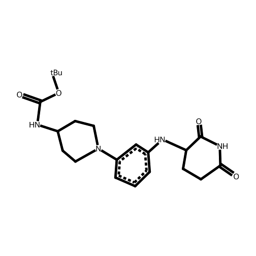 CC(C)(C)OC(=O)NC1CCN(c2cccc(NC3CCC(=O)NC3=O)c2)CC1